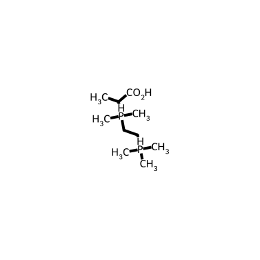 CC(C(=O)O)[PH](C)(C)CC[PH](C)(C)C